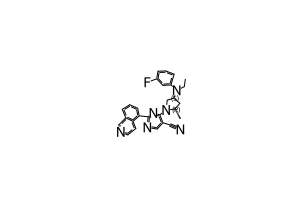 CCN(c1cccc(F)c1)[C@H]1C[C@@H](C)N(c2nc(-c3cccc4cnccc34)ncc2C#N)C1